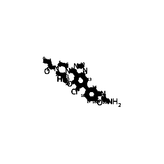 C=CC(=O)N1CCN2c3ncnc4cc(-c5ccc6oc(N)nc6c5)c(Cl)c(c34)OC[C@@H]2C1